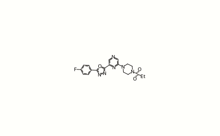 CCS(=O)(=O)N1CCN(c2cncc(-c3nnc(-c4ccc(F)cc4)o3)n2)CC1